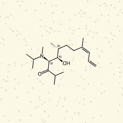 C=CC=C(C)CC[C@@H](C)[C@@H](O)[C@@H](C(=O)C(C)C)N(C)C(C)C